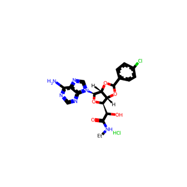 CCNC(=O)C(O)[C@H]1O[C@@H](n2cnc3c(N)ncnc32)[C@@H]2OC(c3ccc(Cl)cc3)O[C@@H]21.Cl